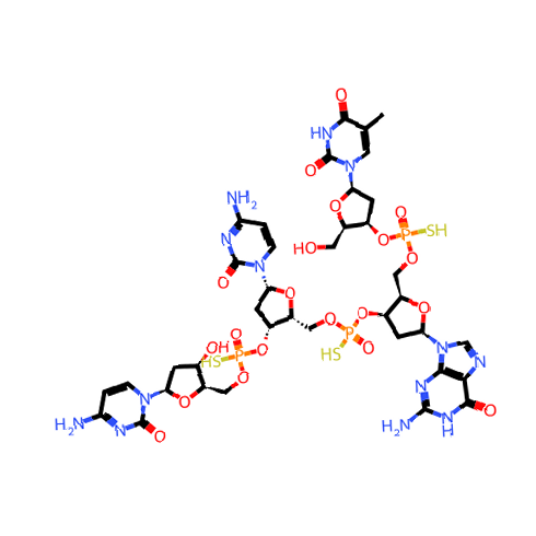 Cc1cn([C@H]2C[C@@H](OP(=O)(S)OC[C@H]3O[C@@H](n4cnc5c(=O)[nH]c(N)nc54)C[C@H]3OP(=O)(S)OC[C@H]3O[C@@H](n4ccc(N)nc4=O)C[C@H]3OP(=O)(S)OC[C@H]3O[C@@H](n4ccc(N)nc4=O)C[C@H]3O)[C@@H](CO)O2)c(=O)[nH]c1=O